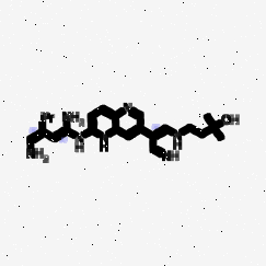 CC(C)C(=C/N)/C=C(\N)NC1=CC=C2N=CC(/C(C=N)=C/NCCC(C)(C)O)=CC2N1